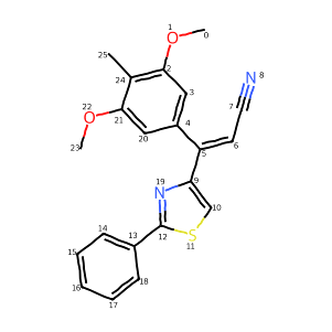 COc1cc(/C(=C\C#N)c2csc(-c3ccccc3)n2)cc(OC)c1C